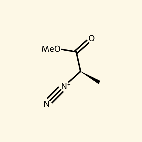 COC(=O)[C@@H](C)[N+]#N